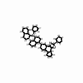 c1ccc(-c2nc3c4cc(-c5ccc(N(c6ccccc6)c6cccc7ccccc67)c6ccccc56)ccc4c4ccccc4c3o2)cc1